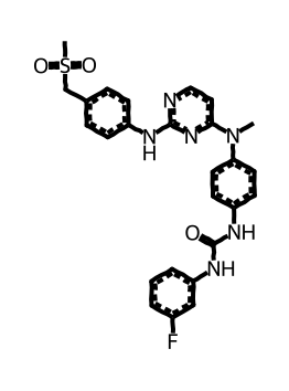 CN(c1ccc(NC(=O)Nc2cccc(F)c2)cc1)c1ccnc(Nc2ccc(CS(C)(=O)=O)cc2)n1